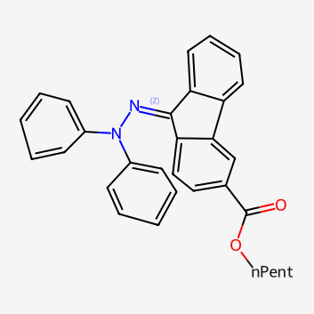 CCCCCOC(=O)c1ccc2c(c1)-c1ccccc1/C2=N/N(c1ccccc1)c1ccccc1